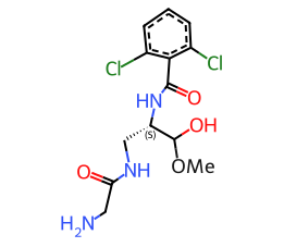 COC(O)[C@H](CNC(=O)CN)NC(=O)c1c(Cl)cccc1Cl